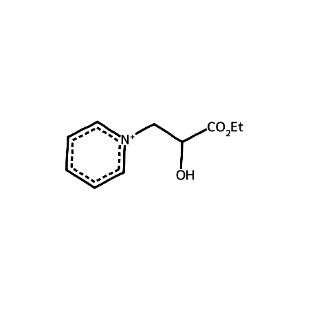 CCOC(=O)C(O)C[n+]1ccccc1